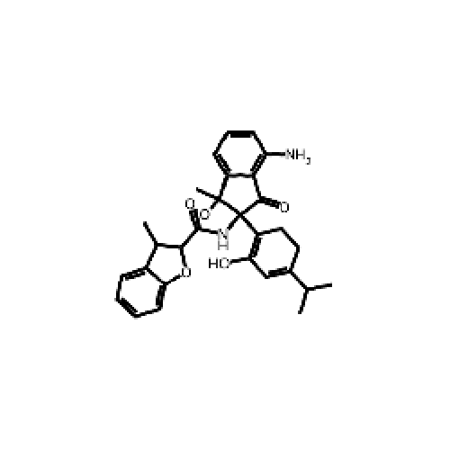 CC(C)C1=CC(O)=C(C2(NC(=O)C3Oc4ccccc4C3C)C(=O)c3c(N)cccc3C2(C)O)CC1